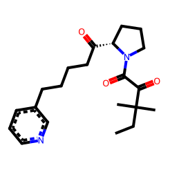 CCC(C)(C)C(=O)C(=O)N1CCC[C@H]1C(=O)CCCCc1cccnc1